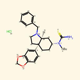 CCCCN(C(N)=S)[C@@H]1CC[C@@]2(c3ccc4c(c3)OCO4)CCN(Cc3ccccc3)[C@H]2C1.Cl